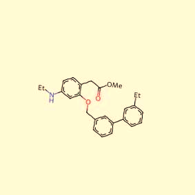 CCNc1ccc(CC(=O)OC)c(OCc2cccc(-c3cccc(CC)c3)c2)c1